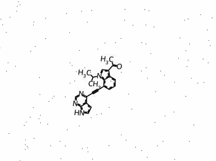 CC(=O)c1cn(C(C)C)c2c(C#Cc3ncnc4[nH]ccc34)cccc12